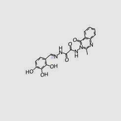 Cc1nc2ccccc2c(=O)n1NC(=O)C(=O)N/N=C/c1ccc(O)c(O)c1O